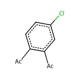 CC(=O)c1ccc(Cl)cc1C(C)=O